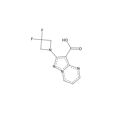 O=C(O)c1c(N2CC(F)(F)C2)nn2cccnc12